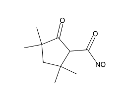 CC1(C)CC(C)(C)C(C(=O)N=O)C1=O